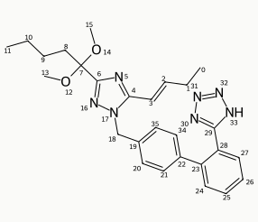 CCC=Cc1nc(C(CCCC)(OC)OC)nn1Cc1ccc(-c2ccccc2-c2nnn[nH]2)cc1